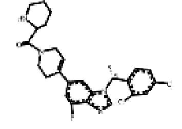 C[C@H](c1ccc(Cl)cc1Cl)n1cnc2c(F)cc(C3=CCN(C(=O)C4CCCCN4)CC3)cc21